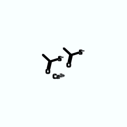 CC(=O)[S-].CC(=O)[S-].[Ca+2]